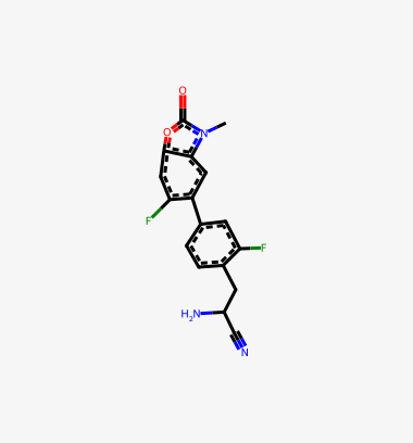 Cn1c(=O)oc2cc(F)c(-c3ccc(CC(N)C#N)c(F)c3)cc21